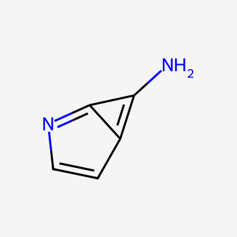 Nc1c2ccnc1-2